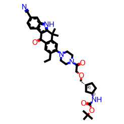 CCc1cc2c(cc1N1CCN(C(=O)COC[C@@H]3CC[C@@H](NC(=O)OC(C)(C)C)C3)CC1)C(C)(C)c1[nH]c3cc(C#N)ccc3c1C2=O